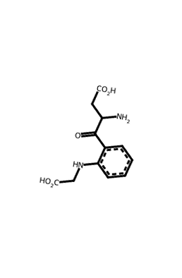 NC(CC(=O)O)C(=O)c1ccccc1NCC(=O)O